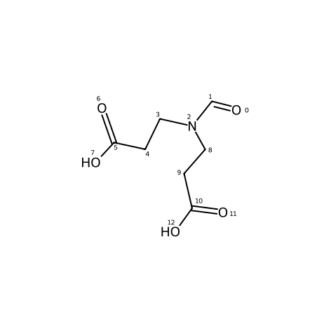 O=CN(CCC(=O)O)CCC(=O)O